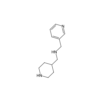 c1cncc(CNCC2CCNCC2)c1